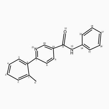 Cc1ccccc1-c1ccc(C(=O)Nc2ccccc2)cn1